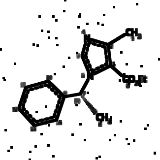 CCOC(=O)c1c(C)ncn1[C@H](C)c1ccccc1